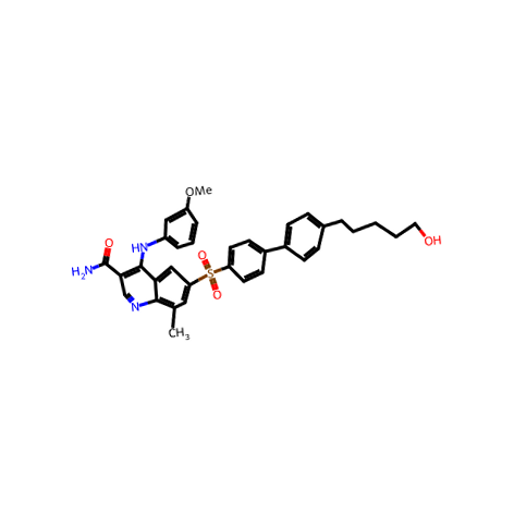 COc1cccc(Nc2c(C(N)=O)cnc3c(C)cc(S(=O)(=O)c4ccc(-c5ccc(CCCCCO)cc5)cc4)cc23)c1